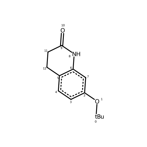 CC(C)(C)Oc1ccc2c(c1)NC(=O)CC2